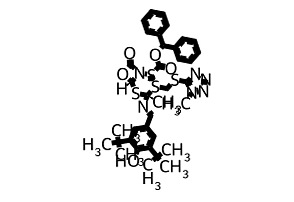 Cn1nnnc1SCS1=S(C(=O)OC(c2ccccc2)c2ccccc2)N2C(=O)O[C@@H]2S[C@]1(C)N=Cc1cc(C(C)(C)C)c(O)c(C(C)(C)C)c1